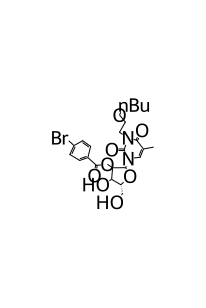 CCCCOCCn1c(=O)c(C)cn([C@@H]2O[C@H](CO)C(O)C2OC(=O)c2ccc(Br)cc2)c1=O